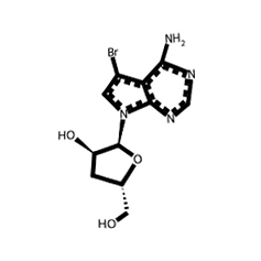 Nc1ncnc2c1c(Br)cn2[C@H]1O[C@H](CO)C[C@H]1O